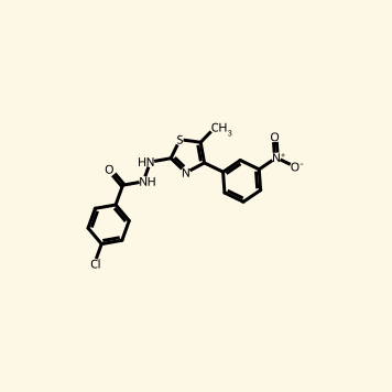 Cc1sc(NNC(=O)c2ccc(Cl)cc2)nc1-c1cccc([N+](=O)[O-])c1